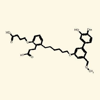 COCc1cc(OCCCCCCc2cccc(OCCCC(=O)O)c2CCC(=O)O)cc(-c2ccc(O)c(O)c2)c1